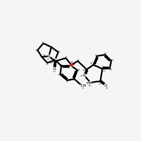 N#Cc1ccc(N2CC3CCC(C2)N3C(=O)CCCc2n[nH]c(=O)c3ccccc23)nc1